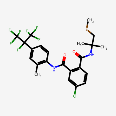 CSCC(C)(C)NC(=O)c1ccc(Cl)cc1C(=O)Nc1ccc(C(F)(C(F)(F)F)C(F)(F)F)cc1C